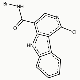 O=C(NBr)c1cnc(Cl)c2c1[nH]c1ccccc12